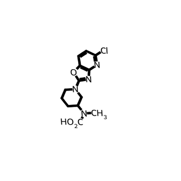 CN(C(=O)O)C1CCCN(c2nc3nc(Cl)ccc3o2)C1